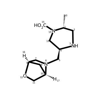 C[C@@H]1CN[C@@H](CN2C[C@H]3C[C@@H]2CO3)CN1C(=O)O